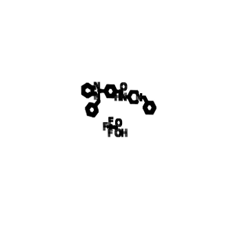 O=C(NC1CCN(Cc2ccccc2)CC1)c1ccc(-c2nc3ccccc3n2Cc2ccccc2)cc1.O=C(O)C(F)(F)F